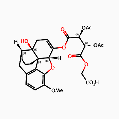 COc1ccc2c3c1O[C@H]1C(OC(=O)[C@@H](OC(C)=O)[C@H](OC(C)=O)C(=O)OCC(=O)O)=CC[C@@]4(O)[C@H](CCC[C@]314)C2